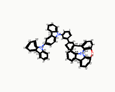 c1cc(-c2cccc(-n3c4ccccc4c4cc(-n5c6ccccc6c6ccccc65)ccc43)c2)cc(-c2cccc3c2-n2c4ccccc4c4cccc(c42)O3)c1